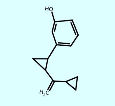 C=C(C1CC1)C1CC1c1cccc(O)c1